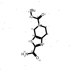 CC(C)(C)OC(=O)N1CCc2nc(C(N)=O)sc2C1